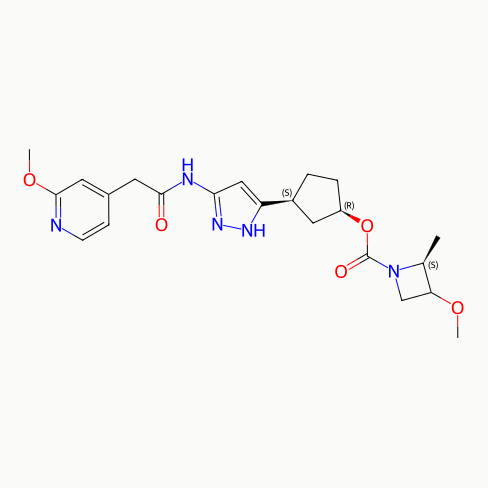 COc1cc(CC(=O)Nc2cc([C@H]3CC[C@@H](OC(=O)N4CC(OC)[C@@H]4C)C3)[nH]n2)ccn1